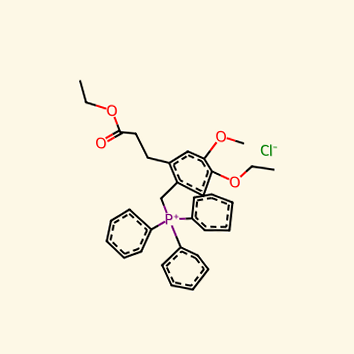 CCOC(=O)CCc1cc(OC)c(OCC)cc1C[P+](c1ccccc1)(c1ccccc1)c1ccccc1.[Cl-]